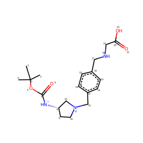 CC(C)(C)OC(=O)N[C@H]1CCN(Cc2ccc(CNCC(=O)O)cc2)C1